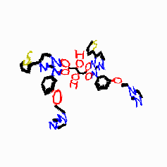 O=C(ON(c1cccc(OCCn2ccnc2)c1)c1nccc(-c2cccs2)n1)C(O)C(O)C(=O)ON(c1cccc(OCCn2ccnc2)c1)c1nccc(-c2cccs2)n1